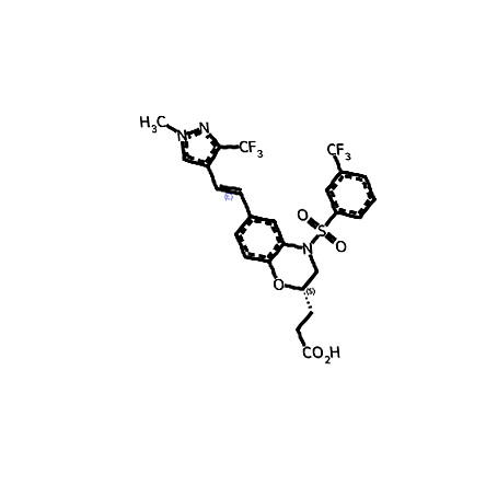 Cn1cc(/C=C/c2ccc3c(c2)N(S(=O)(=O)c2cccc(C(F)(F)F)c2)C[C@H](CCC(=O)O)O3)c(C(F)(F)F)n1